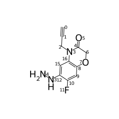 C#CCN1C(=O)COc2cc(F)c(NN)cc21